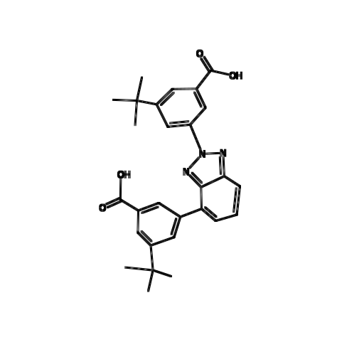 CC(C)(C)c1cc(C(=O)O)cc(-c2cccc3nn(-c4cc(C(=O)O)cc(C(C)(C)C)c4)nc23)c1